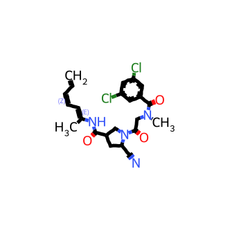 C=C/C=C\C=C(/C)NC(=O)C1CC(C#N)N(C(=O)CN(C)C(=O)c2cc(Cl)cc(Cl)c2)C1